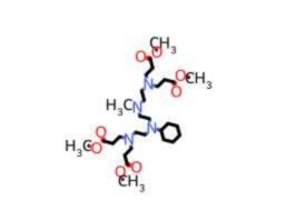 COC(=O)CCN(CCC(=O)OC)CCN(C)CCN(CCN(CCC(=O)OC)CCC(=O)OC)C1CCCCC1